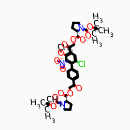 COc1c(C(=O)COC(=O)[C@@H]2CCCN2C(=O)OC(C)(C)C)cc(Cl)c(-c2ccc(C(=O)COC(=O)[C@@H]3CCCN3C(=O)OC(C)(C)C)cc2)c1[N+](=O)[O-]